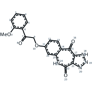 COc1ccccc1C(=O)COc1ccc2c(=O)c3[nH]nnc3c(=O)[nH]c2c1